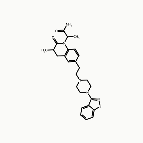 CC1Cc2cc(CCN3CCN(c4nsc5ccccc45)CC3)ccc2N(C(C)C(N)=O)C1=O